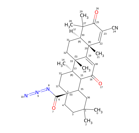 CC1(C)CC[C@]2(C(=O)N=[N+]=[N-])CC[C@]3(C)C(C(=O)C=C4[C@@]5(C)C=C(C#N)C(=O)C(C)(C)[C@@H]5CC[C@]43C)C2C1